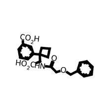 O=C(COCc1ccccc1)NC(C(=O)O)C1(c2cccc(C(=O)O)c2)CCC1